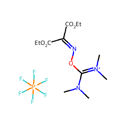 CCOC(=O)C(=NOC(N(C)C)=[N+](C)C)C(=O)OCC.F[P-](F)(F)(F)(F)F